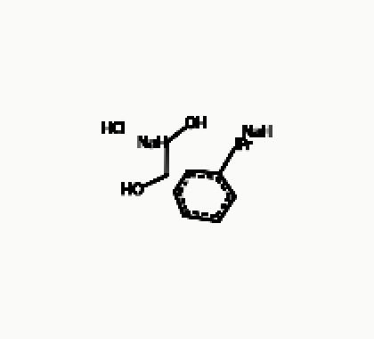 CC(C)c1ccccc1.Cl.OCCO.[NaH].[NaH]